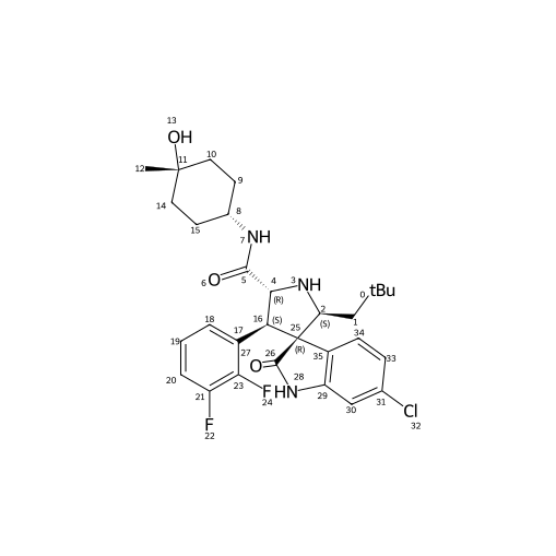 CC(C)(C)C[C@@H]1N[C@@H](C(=O)N[C@H]2CC[C@@](C)(O)CC2)[C@H](c2cccc(F)c2F)[C@]12C(=O)Nc1cc(Cl)ccc12